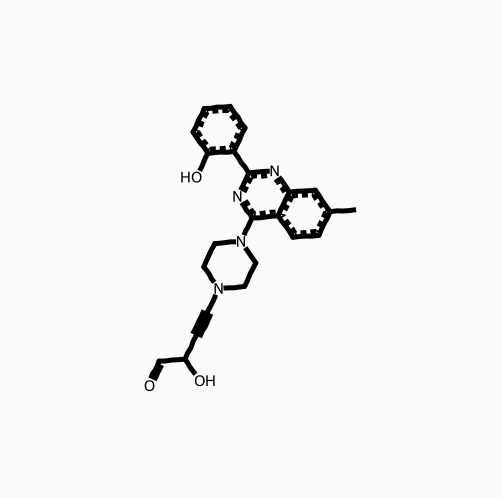 Cc1ccc2c(N3CCN(C#CC(O)C=O)CC3)nc(-c3ccccc3O)nc2c1